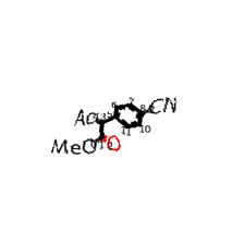 COC(=O)C(C(C)=O)c1ccc(C#N)cc1